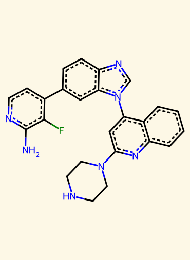 Nc1nccc(-c2ccc3ncn(-c4cc(N5CCNCC5)nc5ccccc45)c3c2)c1F